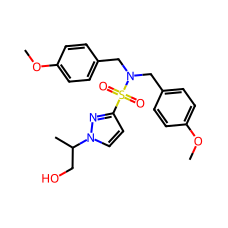 COc1ccc(CN(Cc2ccc(OC)cc2)S(=O)(=O)c2ccn(C(C)CO)n2)cc1